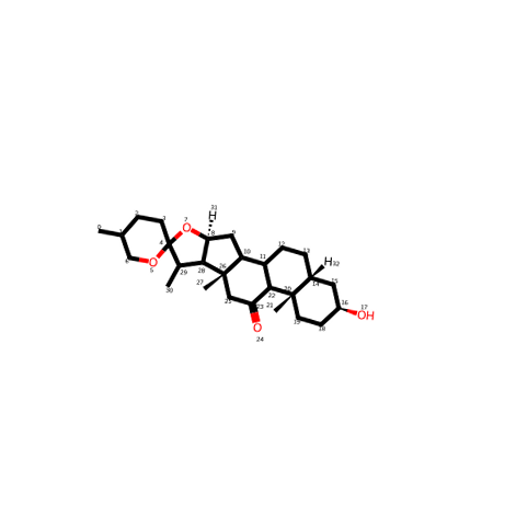 CC1CCC2(OC1)O[C@H]1CC3C4CC[C@@H]5C[C@@H](O)CC[C@]5(C)C4C(=O)C[C@]3(C)C1C2C